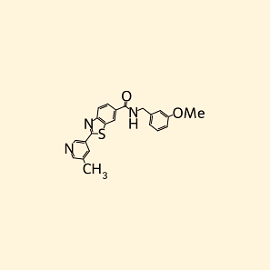 COc1cccc(CNC(=O)c2ccc3nc(-c4cncc(C)c4)sc3c2)c1